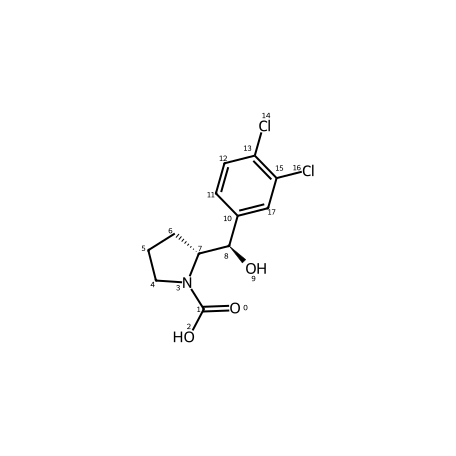 O=C(O)N1CCC[C@@H]1[C@H](O)c1ccc(Cl)c(Cl)c1